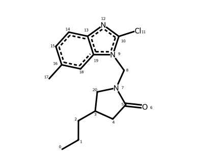 CCCC1CC(=O)N(Cn2c(Cl)nc3ccc(C)cc32)C1